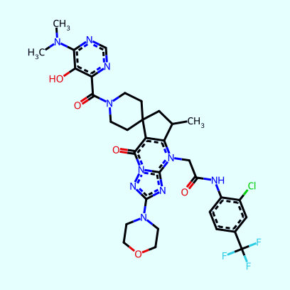 CC1CC2(CCN(C(=O)c3ncnc(N(C)C)c3O)CC2)c2c1n(CC(=O)Nc1ccc(C(F)(F)F)cc1Cl)c1nc(N3CCOCC3)nn1c2=O